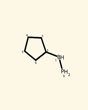 PBC1CCCC1